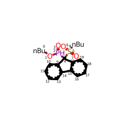 CCCCO[PH](=O)C1(S(=O)(=O)CCCC)c2ccccc2-c2ccccc21